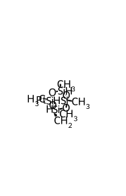 C=C[Si]1(C)O[SiH](C)O[SiH](C)O[SiH](C)O1.[Pt]